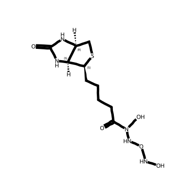 O=C1N[C@H]2[C@H](CS[C@H]2CCCCC(=O)N(O)NONO)N1